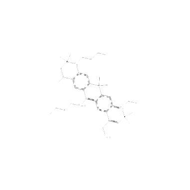 CCCCNC1=c2cc3c(cc2C(C)(C)c2cc4c(cc21)C(C)CC(C)(C)N4CCCC)=[N+](CC)C(C)(C)C=C3CS